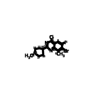 Cc1c(Br)c(I)cc2c(Cl)nc(C3CCN(C)CC3)nc12